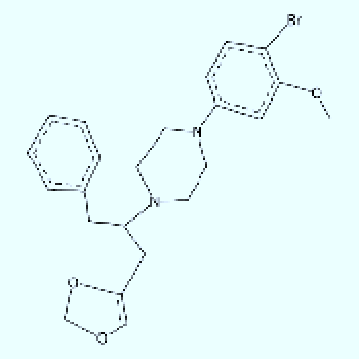 COc1cc(N2CCN(C(CC3=COCO3)Cc3ccccc3)CC2)ccc1Br